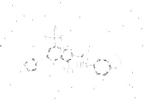 O=C(Nc1ccc2c(c1)OCO2)c1nn2c(C(F)(F)F)cc(-c3cccs3)nc2c1Br